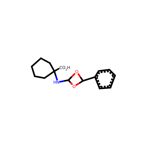 O=C(O)C1(NC2OC(c3ccccc3)O2)CCCCC1